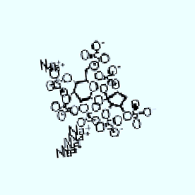 O=S(=O)([O-])OC[C@H]1O[C@H](OC2(OS(=O)(=O)[O-])CCC(OS(=O)(=O)[O-])C2OS(=O)(=O)[O-])[C@H](OS(=O)(=O)[O-])[C@@H](OS(=O)(=O)[O-])[C@@H]1OS(=O)(=O)[O-].[Na+].[Na+].[Na+].[Na+].[Na+].[Na+].[Na+]